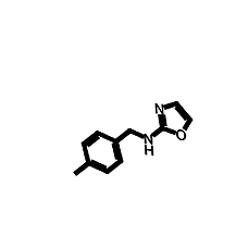 Cc1ccc(CNc2ncco2)cc1